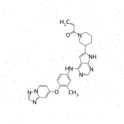 C=CC(=O)N1CCCC(c2cc3c(Nc4ccc(Oc5ccn6ncnc6c5)c(C)c4)ncnc3[nH]2)C1